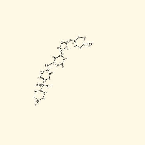 CN1CCN(S(=O)(=O)c2ccc(Nc3cncc(-c4ccc(CN5CCC(O)CC5)s4)n3)cc2)CC1